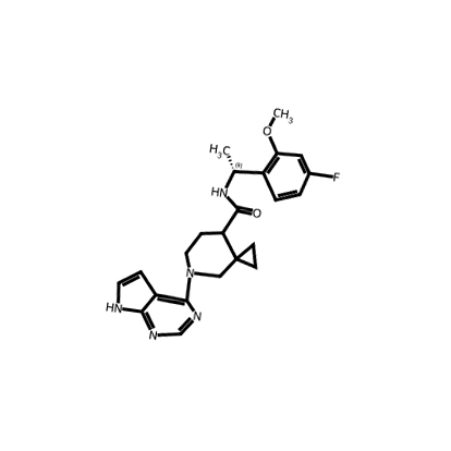 COc1cc(F)ccc1[C@@H](C)NC(=O)C1CCN(c2ncnc3[nH]ccc23)CC12CC2